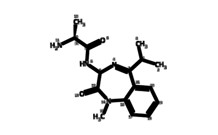 CC(C)C1=NC(NC(=O)[C@H](C)N)C(=O)N(C)c2ccccc21